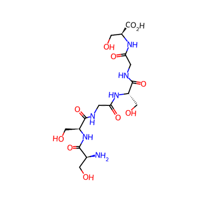 N[C@@H](CO)C(=O)N[C@@H](CO)C(=O)NCC(=O)N[C@@H](CO)C(=O)NCC(=O)N[C@@H](CO)C(=O)O